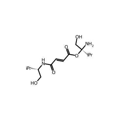 CC(C)[C@@H](CO)NC(=O)/C=C/C(=O)O[C@](N)(CO)C(C)C